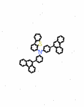 c1cc(-c2cc3ccccc3c3ccccc23)cc(N(c2ccc(-c3cc4ccccc4c4ccccc34)cc2)c2cccc3c2sc2ccccc23)c1